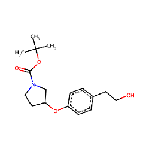 CC(C)(C)OC(=O)N1CCC(Oc2ccc(CCO)cc2)C1